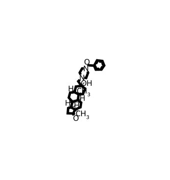 C[C@]12CC[C@](O)(CN3CCN(C(=O)c4ccccc4)CC3)C[C@@H]1CC[C@@H]1[C@@H]2CC[C@]2(C)C(=O)CC[C@@H]12